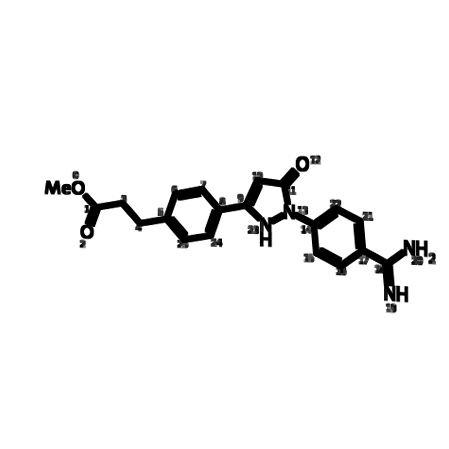 COC(=O)CCc1ccc(-c2cc(=O)n(-c3ccc(C(=N)N)cc3)[nH]2)cc1